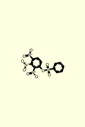 O=[N+]([O-])c1ccc(OS(=O)(=O)c2ccccc2)c([N+](=O)[O-])c1[N+](=O)[O-]